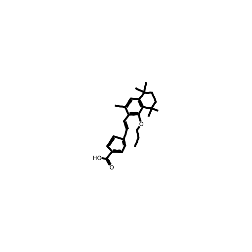 CCCOc1c(/C=C/c2ccc(C(=O)O)cc2)c(C)cc2c1C(C)(C)CCC2(C)C